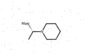 CN[C@@H](C)N1CCCCC1